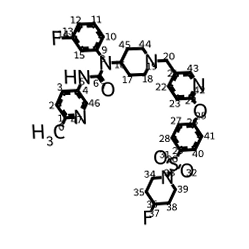 Cc1ccc(NC(=O)N(c2cccc(F)c2)C2CCN(Cc3ccc(Oc4ccc(S(=O)(=O)N5CCC(F)CC5)cc4)nc3)CC2)cn1